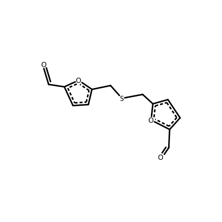 O=Cc1ccc(CSCc2ccc(C=O)o2)o1